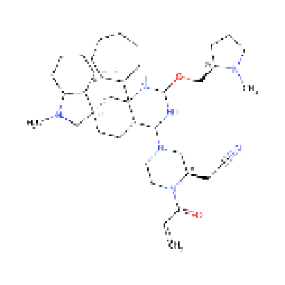 C=CC(=O)N1CCN(C2NC(OC[C@H]3CCCN3C)NC3(C4CCCCCC4)C[C@]4(CCC23)CN(C)C2CCC[C@H](F)C24)C[C@H]1CC#N